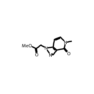 COC(=O)Cn1ncc2c(=O)n(C)ccc21